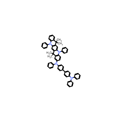 CC1(C)c2ccccc2N(c2ccccc2)c2cc3c(cc21)N(c1ccccc1)c1ccc(N(c2ccccc2)c2ccc(-c4ccc(N(c5ccccc5)c5ccccc5)cc4)cc2)cc1C3(C)C